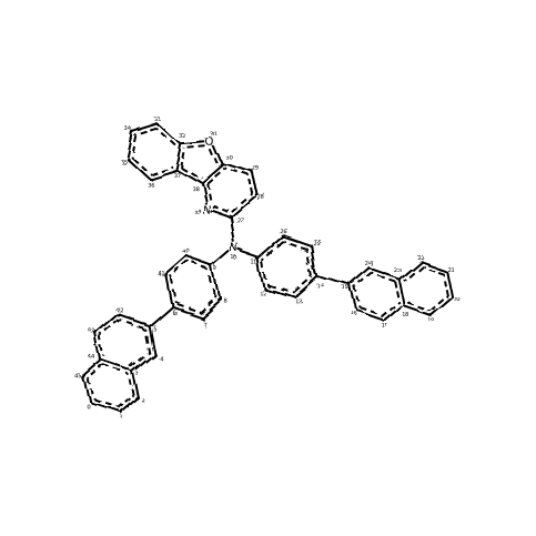 c1ccc2cc(-c3ccc(N(c4ccc(-c5ccc6ccccc6c5)cc4)c4ccc5oc6ccccc6c5n4)cc3)ccc2c1